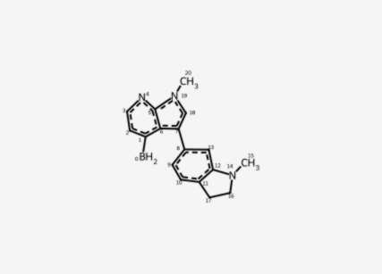 Bc1ccnc2c1c(-c1ccc3c(c1)N(C)CC3)cn2C